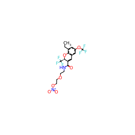 CCc1cc(OC(F)(F)F)cc2c1O[C@H](C(F)(F)F)C(C(=O)NCCOCCO[N+](=O)[O-])=C2